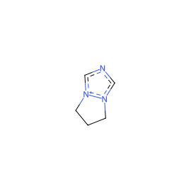 c1nc[n+]2n1CCC2